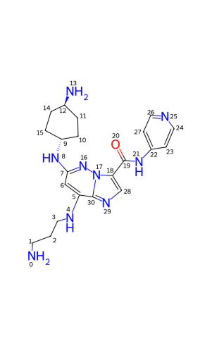 NCCCNc1cc(N[C@H]2CC[C@H](N)CC2)nn2c(C(=O)Nc3ccncc3)cnc12